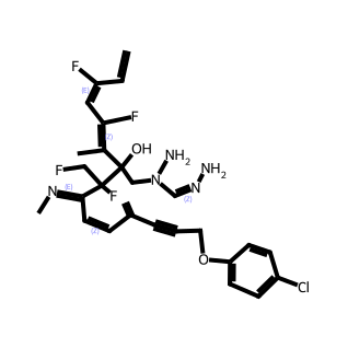 C=C/C(F)=C\C(F)=C(/C)C(O)(CN(N)/C=N\N)C(F)(CF)C(/C=C\C(=C)C#CCOc1ccc(Cl)cc1)=N/C